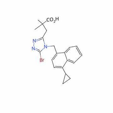 CC(C)(Cc1nnc(Br)n1Cc1ccc(C2CC2)c2ccccc12)C(=O)O